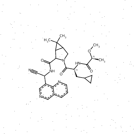 CO[C@@H](C)C(=O)N[C@@H](CC1CC1)C(=O)N1CC2C(C1C(=O)NC(C#N)c1cncc3cccnc13)C2(C)C